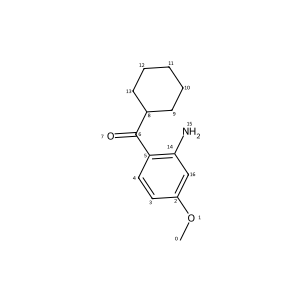 COc1ccc(C(=O)C2CCCCC2)c(N)c1